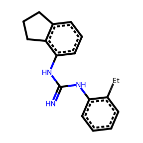 CCc1ccccc1NC(=N)Nc1cccc2c1CCC2